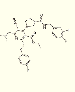 CCOC(=O)c1c(CCc2ccc(F)cc2)nc(CC(C)C)c(C#N)c1N1CCC(C(=O)NCc2ccc(F)c(F)c2)C1